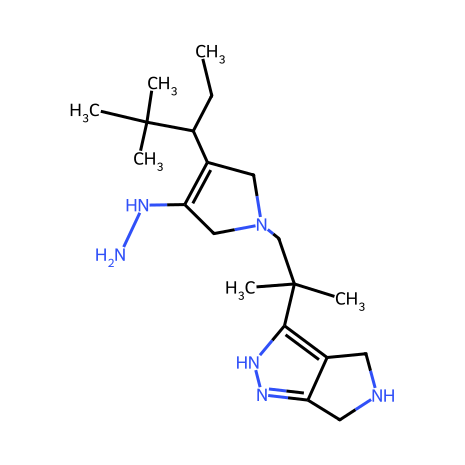 CCC(C1=C(NN)CN(CC(C)(C)c2[nH]nc3c2CNC3)C1)C(C)(C)C